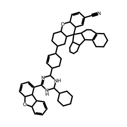 N#CC1=CC2C(C=C1)OC1CCC(C3C=CC(C4N=C(C5=CC=CC6OC7C=CC=CC7C56)NC(C5CCCCC5)N4)CC3)CC1C21C2CCCCC2C2C3=C(CCCC3)CCC21